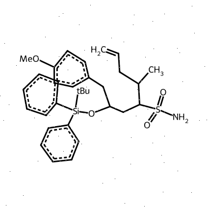 C=CCC(C)C(CC(Cc1ccc(OC)cc1)O[Si](c1ccccc1)(c1ccccc1)C(C)(C)C)S(N)(=O)=O